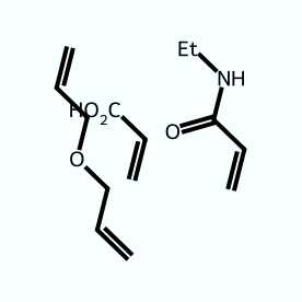 C=CC(=O)NCC.C=CC(=O)O.C=CCOCC=C